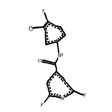 O=C(Nc1ccc(F)c(Cl)c1)c1cc(F)nc(F)c1